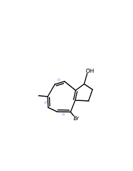 CC1=C/C=C(/Br)C2=C(/C=C\1)C(O)CC2